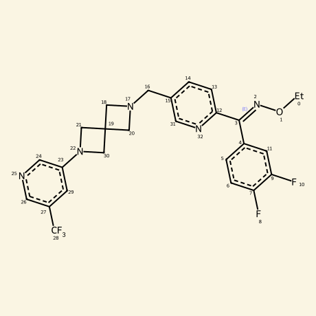 CCO/N=C(\c1ccc(F)c(F)c1)c1ccc(CN2CC3(C2)CN(c2cncc(C(F)(F)F)c2)C3)cn1